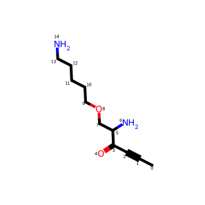 CC#CC(=O)C(N)COCCCCCN